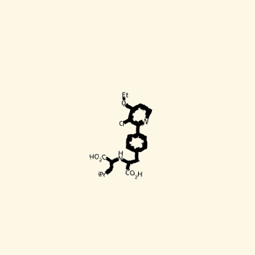 CCOc1ccnc(-c2ccc(CC(NC(CC(C)C)C(=O)O)C(=O)O)cc2)c1Cl